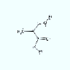 CCOCC(C)C(=O)CC(C)C